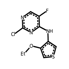 CCOc1cscc1Nc1nc(Cl)ncc1F